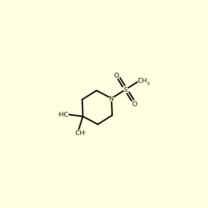 [CH]C1([CH])CCN(S(C)(=O)=O)CC1